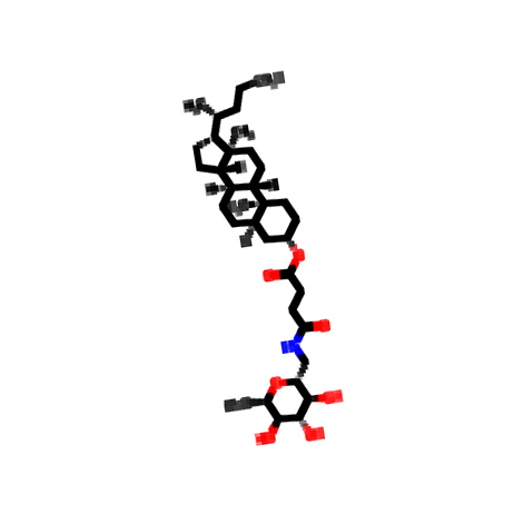 CO[C@H]1O[C@H](CNC(=O)CCC(=O)O[C@H]2CC[C@@]3(C)[C@H](CC[C@@H]4[C@@H]3CC[C@]3(C)[C@@H]([C@H](C)CCC(=O)O)CC[C@@H]43)C2)[C@@H](O)[C@H](O)[C@H]1O